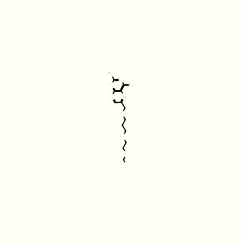 CCOCCOCCCNCc1cnc2nc(N)nc(N)c2n1